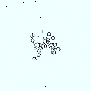 COc1ccc(COC(=O)C2=C(C[n+]3cccc(-c4cscn4)c3)CS[C@H]3[C@H](NC(=O)C(=NOC(c4ccccc4)(c4ccccc4)c4ccccc4)c4csc(NC(c5ccccc5)(c5ccccc5)c5ccccc5)n4)C(=O)N23)cc1.[I-]